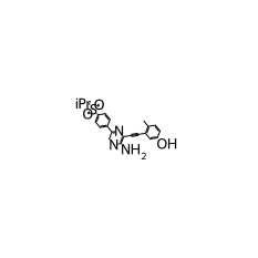 Cc1ccc(O)cc1C#Cc1nc(-c2ccc(S(=O)(=O)C(C)C)cc2)cnc1N